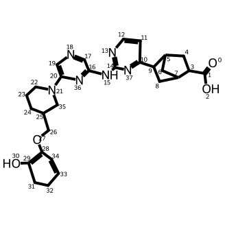 O=C(O)C1CC2CC1CC2c1ccnc(Nc2cncc(N3CCCC(COC4=C(O)CCC=C4)C3)n2)n1